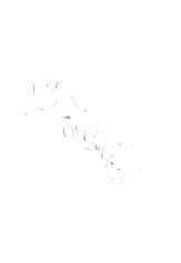 O=C(Nc1ccc(O)c(Cl)c1)NC12CC3CC(CC(C3)C1)C2